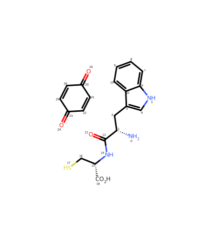 N[C@@H](Cc1c[nH]c2ccccc12)C(=O)N[C@@H](CS)C(=O)O.O=C1C=CC(=O)C=C1